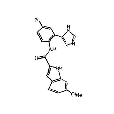 COc1ccc2cc(C(=O)Nc3ccc(Br)cc3-c3nnn[nH]3)[nH]c2c1